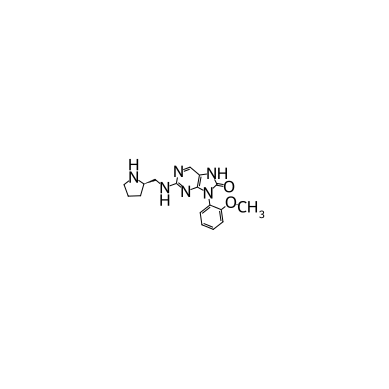 COc1ccccc1-n1c(=O)[nH]c2cnc(NC[C@H]3CCCN3)nc21